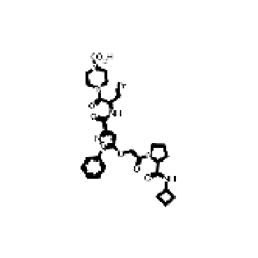 CC(C)CC(NC(=O)c1cc(OCC(=O)N2CCCC2C(=O)NC2CCC2)n(-c2ccccc2)n1)C(=O)N1CCN(C(=O)O)CC1